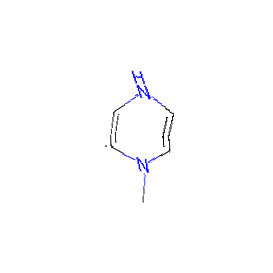 CN1[C]=CNC=C1